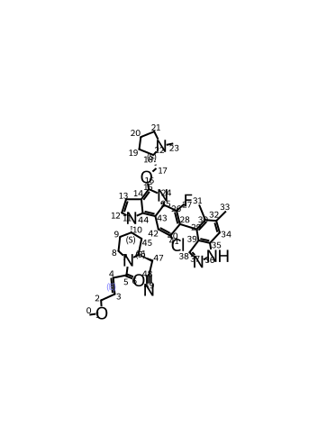 COC/C=C/C(=O)N1CC[C@H](n2ccc3c(OC[C@@H]4CCCN4C)nc4c(F)c(-c5c(C)c(C)cc6[nH]ncc56)c(Cl)cc4c32)C[C@H]1CC#N